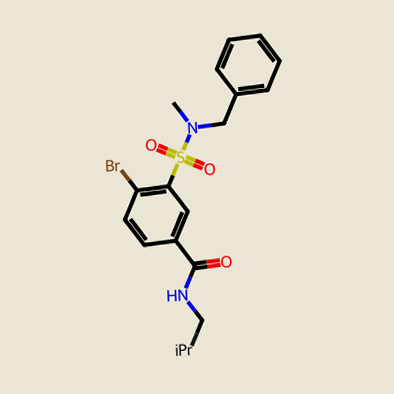 CC(C)CNC(=O)c1ccc(Br)c(S(=O)(=O)N(C)Cc2ccccc2)c1